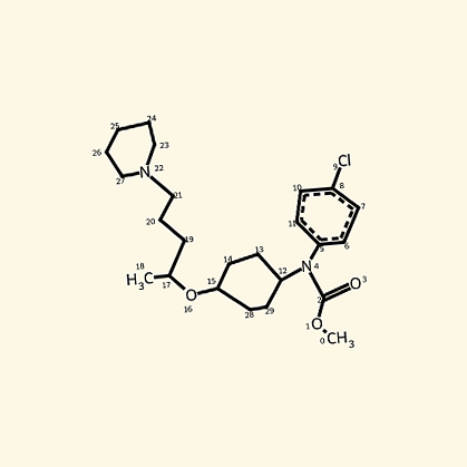 COC(=O)N(c1ccc(Cl)cc1)C1CCC(OC(C)CCCN2CCCCC2)CC1